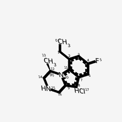 CCc1cc(F)cc2cc3n(c12)[C@H](C)CNC3.Cl